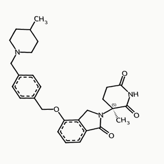 CC1CCN(Cc2ccc(COc3cccc4c3CN([C@@]3(C)CCC(=O)NC3=O)C4=O)cc2)CC1